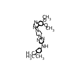 COc1cc2ncnc(N3CCN(c4ncc(Nc5ccc(C(C)(C)C)cc5)cn4)CC3)c2cc1OC